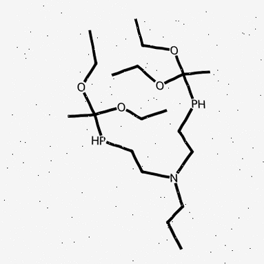 CCCN(CCPC(C)(OCC)OCC)CCPC(C)(OCC)OCC